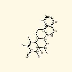 CC1=C(C)C2C3CCc4c(ccc5ccccc45)C3CC(C)C2(C)C(C)C1=O